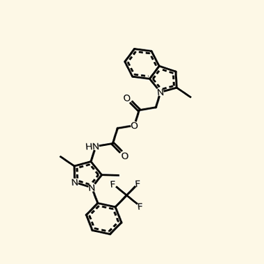 Cc1nn(-c2ccccc2C(F)(F)F)c(C)c1NC(=O)COC(=O)Cn1c(C)cc2ccccc21